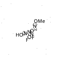 COC1CCN(CC2(COc3nc(N4CCCC(C)(O)C4)c4cc(F)cc(F)c4n3)CC2)CC1